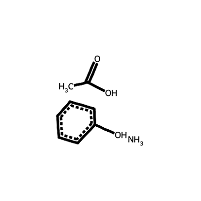 CC(=O)O.N.Oc1ccccc1